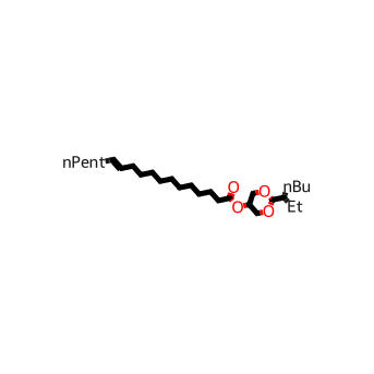 CCCCC/C=C/CCCCCCCCCCC(=O)OC1COC(C(CC)CCCC)OC1